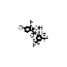 O=C(Nc1cc(C(F)(F)F)cc(C(F)(F)F)c1)c1c(O)[nH]c2cc(Cl)ccc12